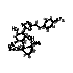 CCCCc1nc(O)c(-c2nnc(CCc3ccc(C(F)(F)F)cc3)o2)c(O)c1-c1c(OC)cccc1OC